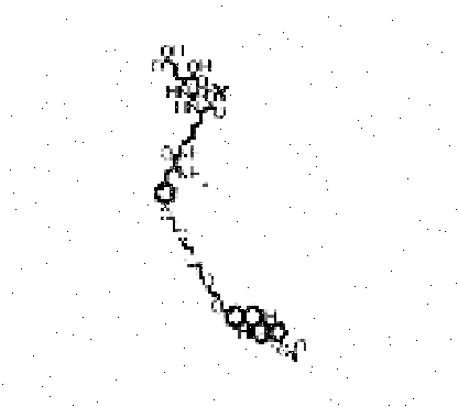 CC(=O)O[C@@H]1CC[C@@H]2[C@H]3CCc4cc(OCCOCCOCCOCCOc5ccc(CC(N)C(=O)NCCCCC(NC(=O)NC(CCC(=O)O)C(=O)O)C(=O)OC(C)(C)C)cc5)ccc4[C@@H]3CC[C@]21C